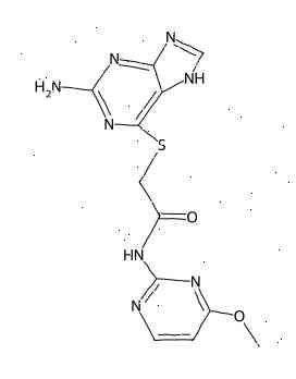 COc1ccnc(NC(=O)CSc2nc(N)nc3nc[nH]c23)n1